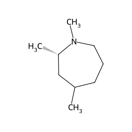 CC1CCCN(C)[C@@H](C)C1